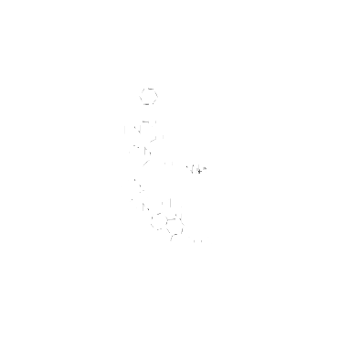 O=C(Cc1ccccc1)N[C@@H]1C(=O)N2C(C(=O)[O-])=C(CN3CCC[C@H]4CN(c5c(F)cc6c(=O)c(C(=O)[O-])cn(C7CC7)c6c5Cl)C[C@H]43)CS[C@H]12.[Na+].[Na+]